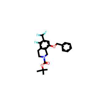 CC(C)(C)OC(=O)N1CCc2c(F)c(C(F)F)cc(OCc3ccccc3)c2C1